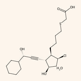 O.O=C(O)CSCCCC[C@@H]1[C@@H](C#C[C@@H](O)C2CCCCC2)[C@H](O)C[C@@H]1Cl